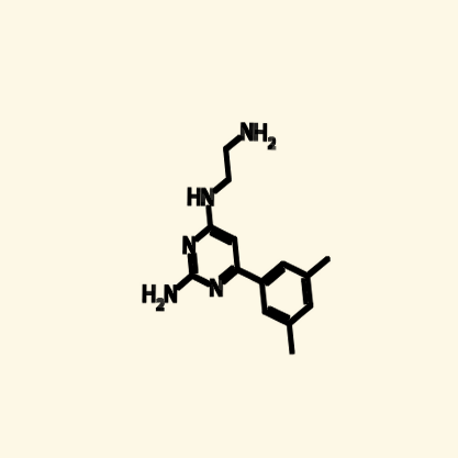 Cc1cc(C)cc(-c2cc(NCCN)nc(N)n2)c1